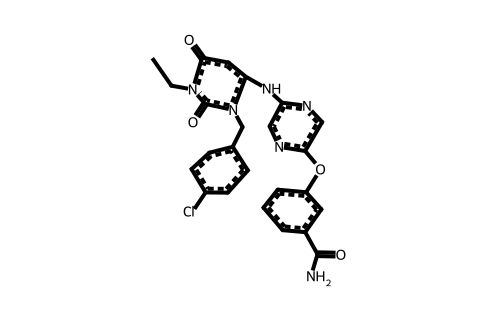 CCn1c(=O)cc(Nc2cnc(Oc3cccc(C(N)=O)c3)cn2)n(Cc2ccc(Cl)cc2)c1=O